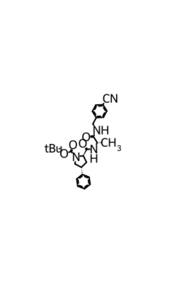 C[C@H](NC(=O)[C@H]1C[C@H](c2ccccc2)CN1C(=O)OC(C)(C)C)C(=O)NCc1ccc(C#N)cc1